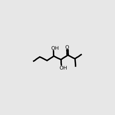 CCCC(O)C(O)C(=O)C(C)C